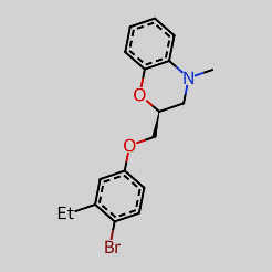 CCc1cc(OC[C@@H]2CN(C)c3ccccc3O2)ccc1Br